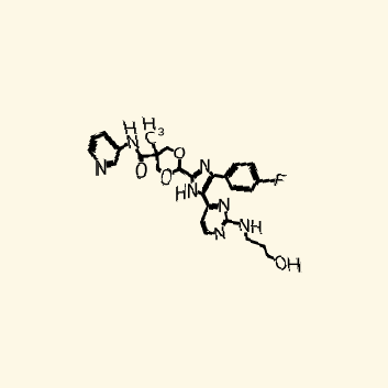 CC1(C(=O)Nc2cccnc2)COC(c2nc(-c3ccc(F)cc3)c(-c3ccnc(NCCCO)n3)[nH]2)OC1